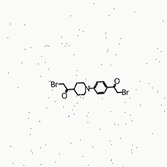 O=C(CBr)c1ccc(N2CCC(C(=O)CBr)CC2)cc1